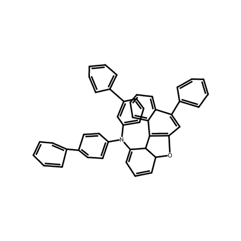 C1=CC2Oc3cc(-c4ccccc4)c4ccccc4c3C2C(N(c2ccc(-c3ccccc3)cc2)c2cccc(-c3ccccc3)c2)=C1